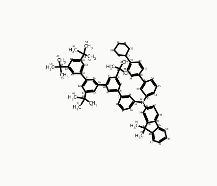 CC(C)(C)c1cc(-c2cccc(N(c3cccc(-c4ccc(C5CCCCC5)cc4)c3)c3ccc4c(c3)C(C)(C)c3ccccc3-4)c2)cc(-c2cc(-c3cc(C(C)(C)C)cc(C(C)(C)C)c3)cc(C(C)(C)C)c2)c1